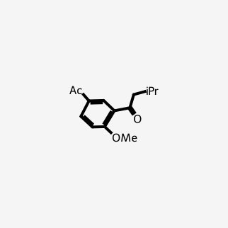 COc1ccc(C(C)=O)cc1C(=O)CC(C)C